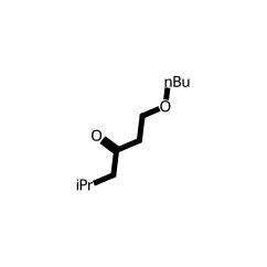 CCCCOCCC(=O)CC(C)C